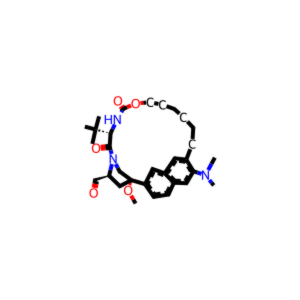 CO[C@@]12C[C@@H](C=O)N(C1)C(=O)[C@H](C(C)(C)C)NC(=O)OCCCCCCc1cc3cc2ccc3cc1N(C)C